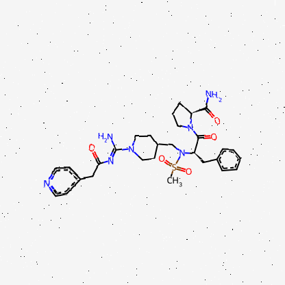 CS(=O)(=O)N(CC1CCN(C(N)=NC(=O)Cc2ccncc2)CC1)[C@H](Cc1ccccc1)C(=O)N1CCC[C@H]1C(N)=O